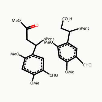 CCCCCC(CC(=O)O)c1cc(C=O)c(OC)cc1OC.CCCCCC(CC(=O)OC)c1cc(C=O)c(OC)cc1OC